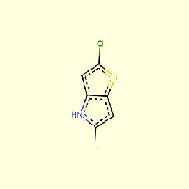 Cc1cc2sc(Cl)cc2[nH]1